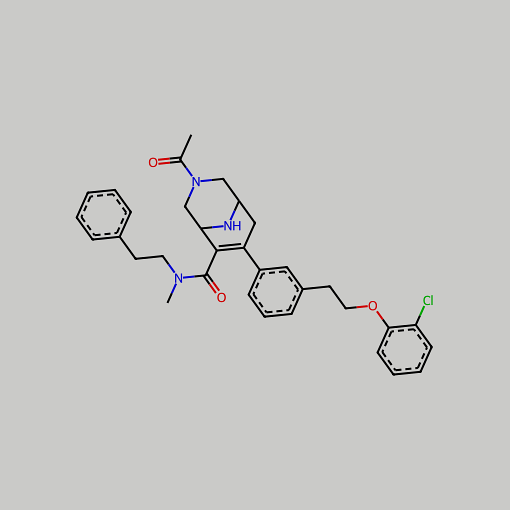 CC(=O)N1CC2CC(c3cccc(CCOc4ccccc4Cl)c3)=C(C(=O)N(C)CCc3ccccc3)C(C1)N2